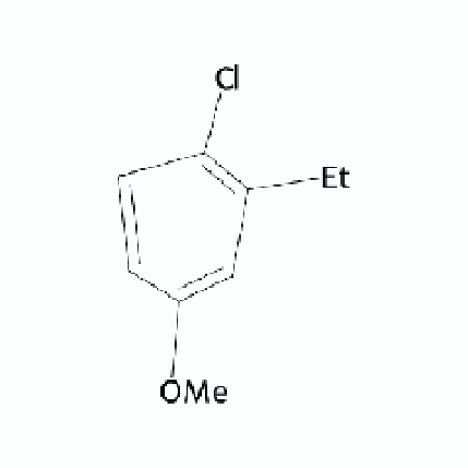 CCc1cc(OC)ccc1Cl